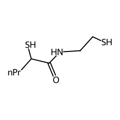 CCCC(S)C(=O)NCCS